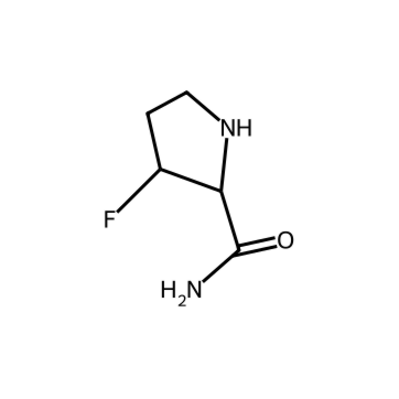 NC(=O)C1NCCC1F